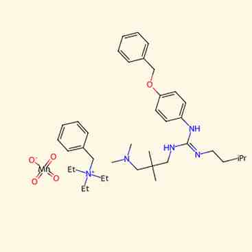 CC(C)CC/N=C(/NCC(C)(C)CN(C)C)Nc1ccc(OCc2ccccc2)cc1.CC[N+](CC)(CC)Cc1ccccc1.[O]=[Mn](=[O])(=[O])[O-]